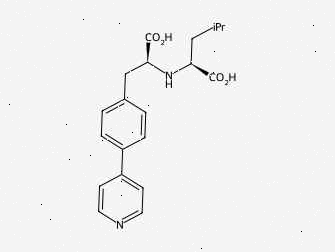 CC(C)C[C@H](N[C@@H](Cc1ccc(-c2ccncc2)cc1)C(=O)O)C(=O)O